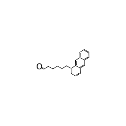 O=CCCCCCc1cccc2cc3ccccc3cc12